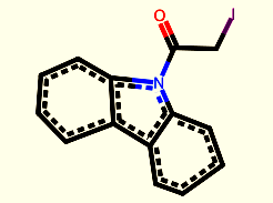 O=C(CI)n1c2ccccc2c2ccccc21